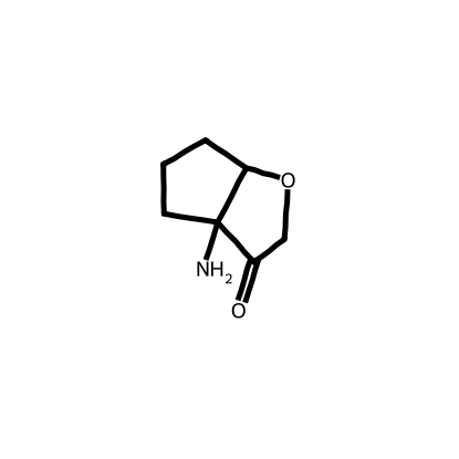 NC12CCCC1OCC2=O